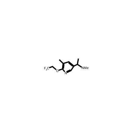 CNC(C)c1cnc(OCC(F)(F)F)c(C)c1